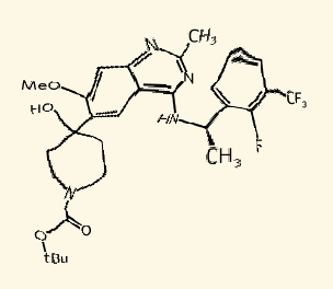 COc1cc2nc(C)nc(N[C@H](C)c3cccc(C(F)(F)F)c3F)c2cc1C1(O)CCN(C(=O)OC(C)(C)C)CC1